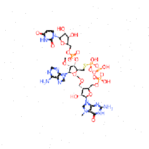 COC[C@H]1[C@@H](O)[C@H](n2c[n+](C)c3c(=O)[nH]c(N)nc32)O[C@@H]1COP(=O)(O)OP(=O)(O)OP(=O)(O)SC[C@H]1O[C@@H](n2cnc3c(N)ncnc32)[C@H](OC)[C@@H]1OP(=O)([O-])OC[C@H]1O[C@@H](n2ccc(=O)[nH]c2=O)[C@H](O)[C@@H]1O